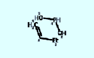 C=CCC.OPO